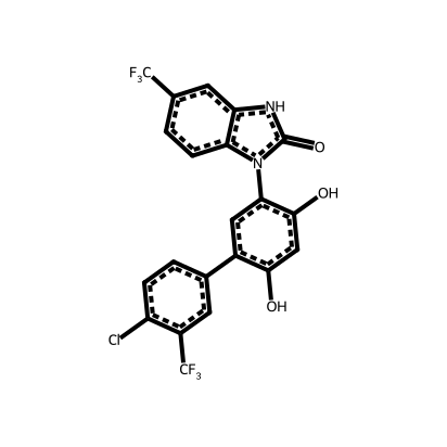 O=c1[nH]c2cc(C(F)(F)F)ccc2n1-c1cc(-c2ccc(Cl)c(C(F)(F)F)c2)c(O)cc1O